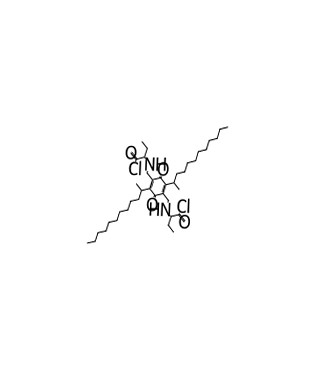 CCCCCCCCCCC(C)C1=C(CNC(CC)C(=O)Cl)C(=O)C(C(C)CCCCCCCCCC)=C(CNC(CC)C(=O)Cl)C1=O